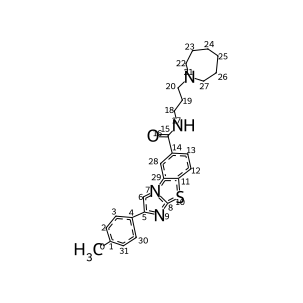 Cc1ccc(-c2cn3c(n2)sc2ccc(C(=O)NCCCN4CCCCCC4)cc23)cc1